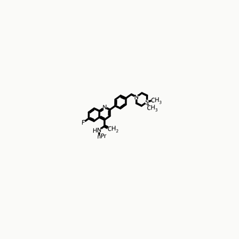 C=C(NCCC)c1cc(-c2ccc(CN3CCS(C)(C)CC3)cc2)nc2ccc(F)cc12